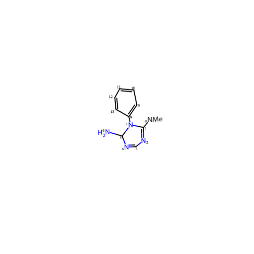 CNC1=NC=NC(N)N1c1ccccc1